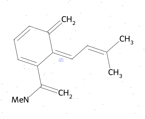 C=C(NC)c1cccc(=C)/c1=C\C=C(C)C